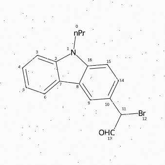 CCCn1c2ccccc2c2cc(C(Br)C=O)ccc21